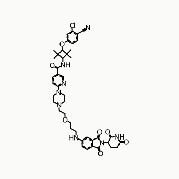 CC1(C)C(NC(=O)c2ccc(N3CCN(CCOCCCNc4ccc5c(c4)C(=O)N(C4CCC(=O)NC4=O)C5=O)CC3)nc2)C(C)(C)C1Oc1ccc(C#N)c(Cl)c1